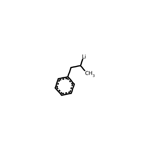 [Li][CH](C)Cc1ccccc1